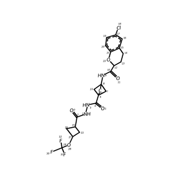 O=C(NNC(=O)C12CC(NC(=O)C3CCc4cc(Cl)ccc4O3)(C1)C2)C1CC(OC(F)(F)F)C1